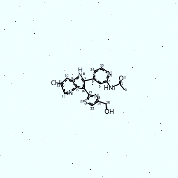 CC(=O)Nc1cc(-c2[nH]c3cc(Cl)cnc3c2-c2nc(CO)cs2)ccn1